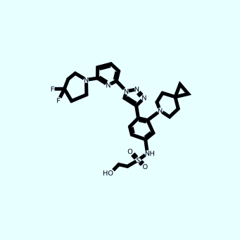 O=S(=O)(CCO)Nc1ccc(-c2cn(-c3cccc(N4CCC(F)(F)CC4)n3)nn2)c(N2CCC3(CC2)CC3)c1